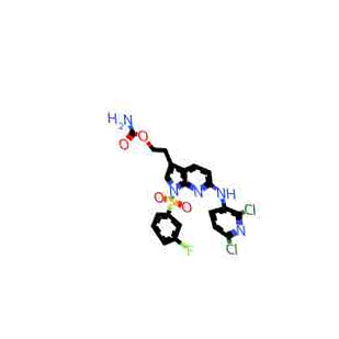 NC(=O)OCCc1cn(S(=O)(=O)c2cccc(F)c2)c2nc(Nc3ccc(Cl)nc3Cl)ccc12